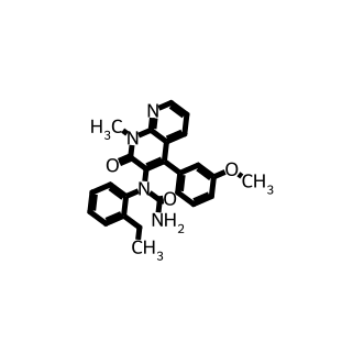 CCc1ccccc1N(C(N)=O)c1c(-c2cccc(OC)c2)c2cccnc2n(C)c1=O